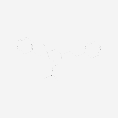 C=C(C)COC(CCc1ccccc1)CC(N)(N)Cc1ccccc1